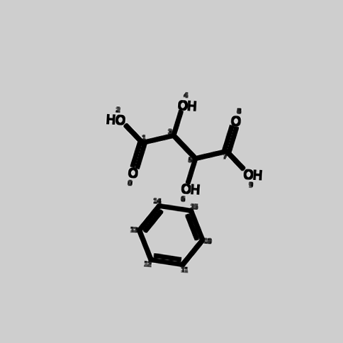 O=C(O)C(O)C(O)C(=O)O.c1ccccc1